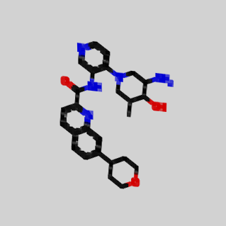 CC1CN(c2ccncc2NC(=O)c2ccc3ccc(C4CCOCC4)cc3n2)CC(N)C1O